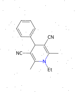 CCN1C(C)=C(C#N)C(c2ccccc2)C(C#N)=C1C